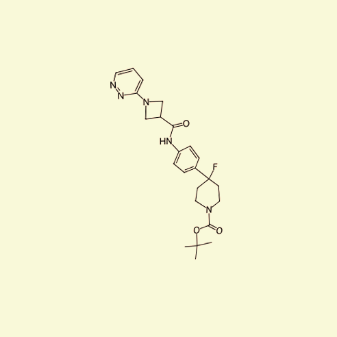 CC(C)(C)OC(=O)N1CCC(F)(c2ccc(NC(=O)C3CN(c4cccnn4)C3)cc2)CC1